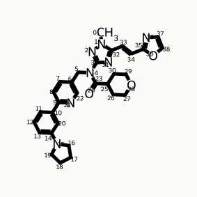 Cn1nc(N(Cc2ccc(-c3cccc(N4CCCC4)c3)nc2)C(=O)C2CCOCC2)nc1C=Cc1ncco1